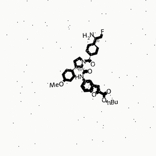 CCCCOC(=O)c1cc2cc(NC(=O)[C@@H]3[C@H](C4CCC(OC)CC4)CCN3C(=O)[C@H]3CC[C@H]([C@H](N)CF)CC3)ccc2o1